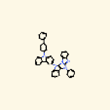 c1ccc(-c2ccc(-n3c4ccccc4c4cc(-n5c6ccccc6c6c5n5c7ccccc7nc5n6-c5ccccc5)ccc43)cc2)cc1